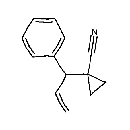 C=CC(c1ccccc1)C1(C#N)CC1